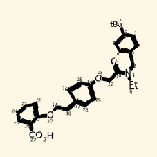 CCN(Cc1ccc(C(C)(C)C)cc1)C(=O)COc1ccc(CCOc2ccccc2C(=O)O)cc1